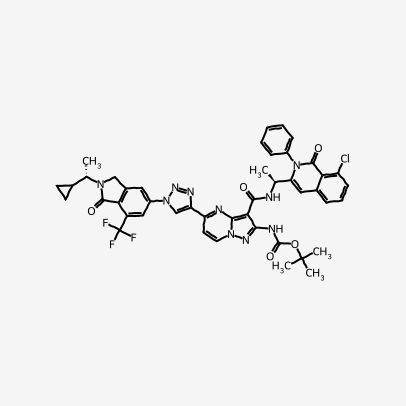 C[C@H](NC(=O)c1c(NC(=O)OC(C)(C)C)nn2ccc(-c3cn(-c4cc5c(c(C(F)(F)F)c4)C(=O)N([C@@H](C)C4CC4)C5)nn3)nc12)c1cc2cccc(Cl)c2c(=O)n1-c1ccccc1